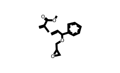 C=C(C)C(=O)OC.C=CC(OCC1CO1)c1ccccc1